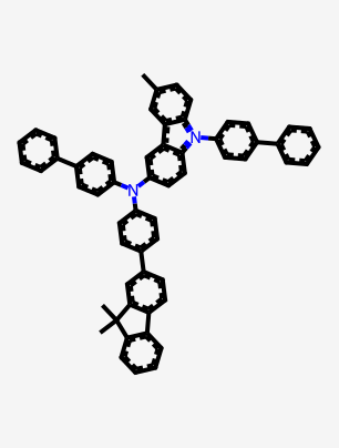 Cc1ccc2c(c1)c1cc(N(c3ccc(-c4ccccc4)cc3)c3ccc(-c4ccc5c(c4)C(C)(C)c4ccccc4-5)cc3)ccc1n2-c1ccc(-c2ccccc2)cc1